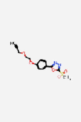 C#CCOCCOc1ccc(-c2nnc(S(C)(=O)=O)o2)cc1